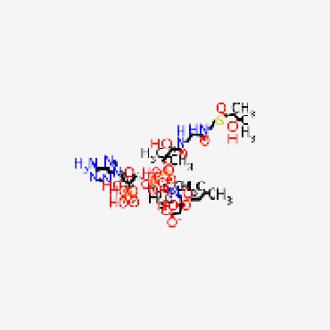 CC(C)CC(=O)OC(O)(CC(=O)[O-])C[N+](C)(C)C.CC(O)C(C)C(=O)SCCNC(=O)CCNC(=O)[C@H](O)C(C)(C)COP(=O)(O)OP(=O)(O)OC[C@H]1O[C@@H](n2cnc3c(N)ncnc32)[C@H](O)[C@@H]1OP(=O)(O)O